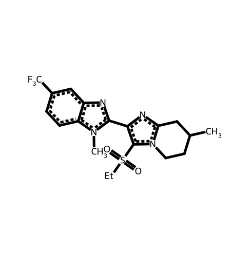 CCS(=O)(=O)c1c(-c2nc3cc(C(F)(F)F)ccc3n2C)nc2n1CCC(C)C2